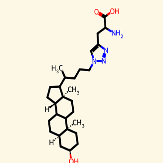 CC(CCCn1cc(CC(N)C(=O)O)nn1)C1CC[C@H]2C3CC[C@@H]4C[C@H](O)CC[C@]4(C)C3CC[C@]12C